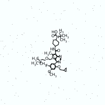 COc1cc(OCC2CC2)c(-c2ncnc3c(C(=O)NC4CCC(N(C(=O)O)C(C)(C)C)CC4)c(C)n(COCC[Si](C)(C)C)c23)cc1F